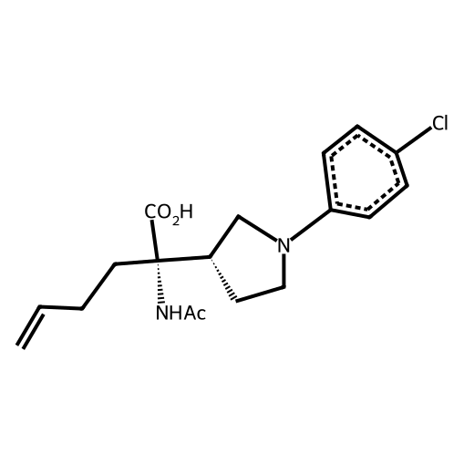 C=CCC[C@@](NC(C)=O)(C(=O)O)[C@H]1CCN(c2ccc(Cl)cc2)C1